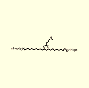 CCCCCCCO/N=C/CCCCCCCCC(CCCCCCCC/C=N/OCCCCCCC)OC(=O)CCCN(C)C